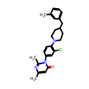 Cc1cccc(CC2CCN(c3ccc(-n4c(C)nc(C)cc4=O)cc3Cl)CC2)c1